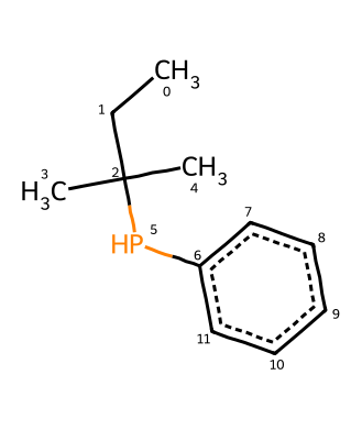 CCC(C)(C)Pc1ccccc1